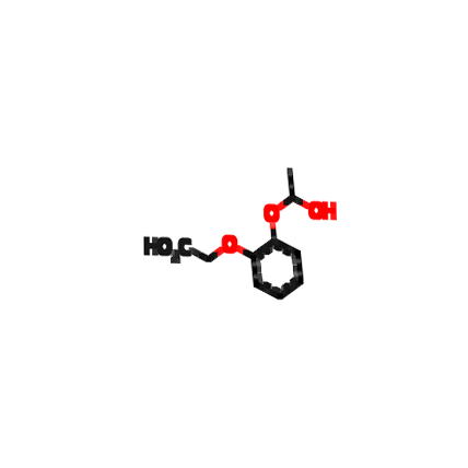 CC(O)Oc1ccccc1OCC(=O)O